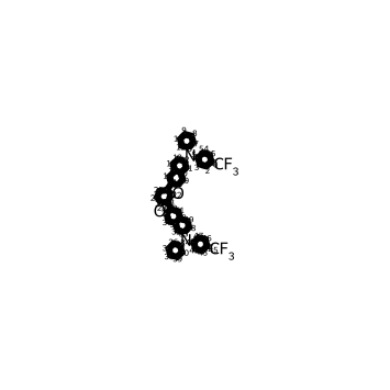 FC(F)(F)c1ccc(N(c2ccccc2)c2ccc3cc4c(cc3c2)oc2c4ccc3oc4cc5cc(N(c6ccccc6)c6ccc(C(F)(F)F)cc6)ccc5cc4c32)cc1